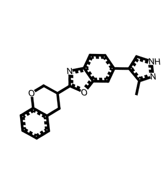 Cc1n[nH]cc1-c1ccc2nc(C3COc4ccccc4C3)oc2c1